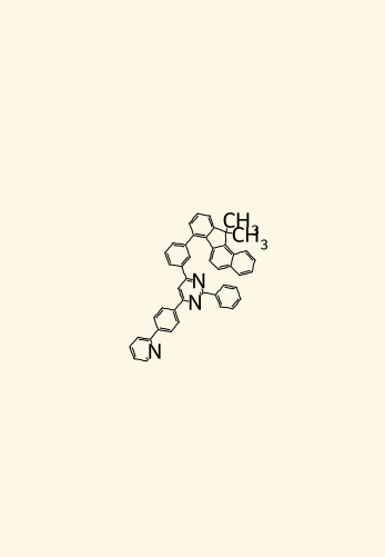 CC1(C)c2cccc(-c3cccc(-c4cc(-c5ccc(-c6ccccn6)cc5)nc(-c5ccccc5)n4)c3)c2-c2ccc3ccccc3c21